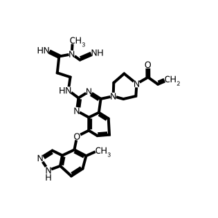 C=CC(=O)N1CCN(c2nc(NCCC(=N)N(C)C=N)nc3c(Oc4c(C)ccc5[nH]ncc45)cccc23)CC1